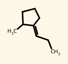 CCC=C1CCCC1C